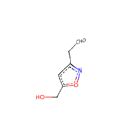 O=CCc1cc(CO)on1